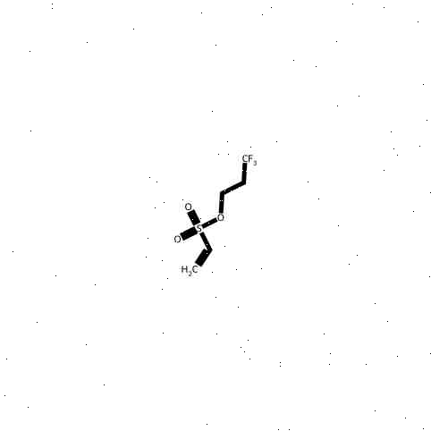 C=CS(=O)(=O)OCCC(F)(F)F